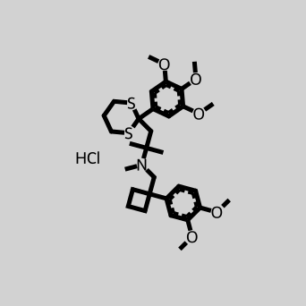 COc1ccc(C2(CN(C)C(C)(C)CC3(c4cc(OC)c(OC)c(OC)c4)SCCCS3)CCC2)cc1OC.Cl